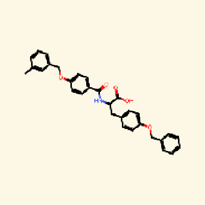 Cc1cccc(COc2ccc(C(=O)NC(Cc3ccc(OCc4ccccc4)cc3)C(=O)O)cc2)c1